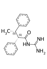 C[C@H](c1ccccc1)[C@H](C(=O)NC(=N)N)c1ccccc1